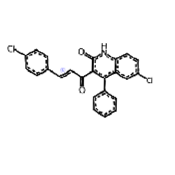 O=C(/C=C/c1ccc(Cl)cc1)c1c(-c2ccccc2)c2cc(Cl)ccc2[nH]c1=O